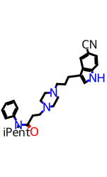 CCCC(C)N(C(=O)CCN1CCN(CCCc2c[nH]c3ccc(C#N)cc23)CC1)c1ccccc1